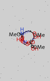 COCCNC1CC2CCC(C)C(O)(O2)C(=O)C(=O)N2CCCCC2C(=O)OC(C(C)CC2CCC(O)C(OC)C2)CC(=O)C(C)/C=C(\C)C(O)C(OC)C(=O)C(C)CC(C)/C=C/C=C/C=C/1C